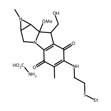 CCSCCNC1=C(C)C(=O)C2=C(C1=O)C(CO)C1(OC)C3C(CN21)N3C.NC(=O)O